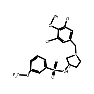 CC(C)Oc1c(Cl)cc(CN2CC[C@@H](NS(=O)(=O)c3cccc(OC(F)(F)F)c3)C2)cc1Cl